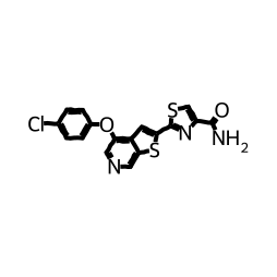 NC(=O)c1csc(-c2cc3c(Oc4ccc(Cl)cc4)cncc3s2)n1